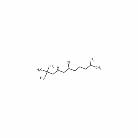 CC(C)CCC[C@H](O)CNCC(C)(C)C